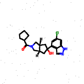 O=C(C1CCCC1)N1C[C@@H]2C[C@](O)(c3cc(Cl)cc4[nH]ncc34)C[C@@H]2C1